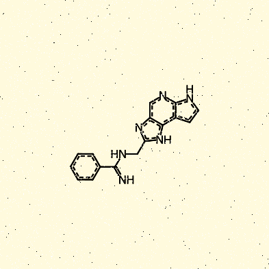 N=C(NCc1nc2cnc3[nH]ccc3c2[nH]1)c1ccccc1